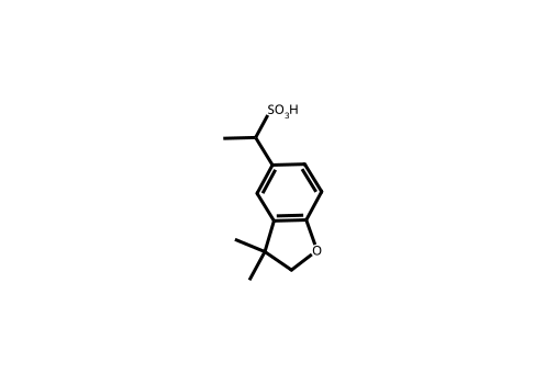 CC(c1ccc2c(c1)C(C)(C)CO2)S(=O)(=O)O